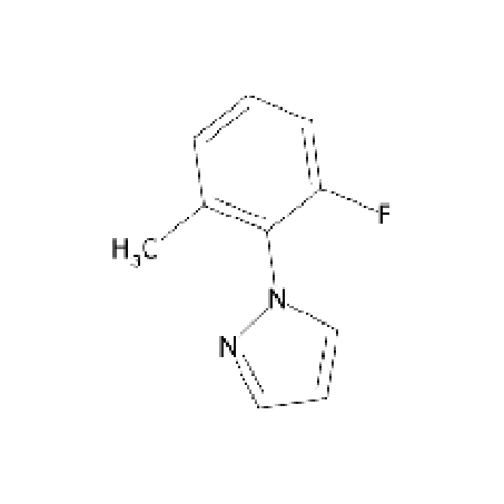 Cc1cccc(F)c1-n1cccn1